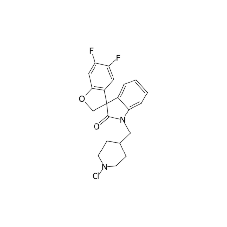 O=C1N(CC2CCN(Cl)CC2)c2ccccc2C12COc1cc(F)c(F)cc12